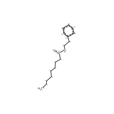 CCCCCCC[CH2][Sn](=[O])[O]CCc1ccccc1